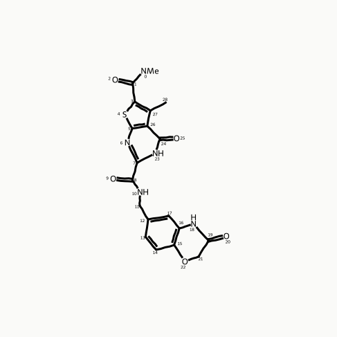 CNC(=O)c1sc2nc(C(=O)NCc3ccc4c(c3)NC(=O)CO4)[nH]c(=O)c2c1C